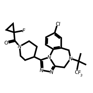 CC(C)(N1Cc2cc(Cl)ccc2-n2c(nnc2C2CCN(C(=O)C3(F)CC3)CC2)C1)C(F)(F)F